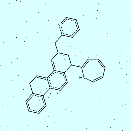 C1=CC=C(C2CC(Cc3ccccn3)C=c3c2ccc2c3=CCc3ccccc3-2)NC=C1